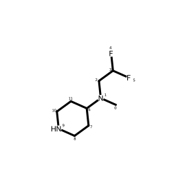 CN(CC(F)F)C1CCNCC1